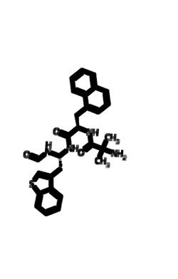 CC(C)(N)C(=O)N[C@H](Cc1cccc2ccccc12)C(=O)N[C@H](Cc1csc2ccccc12)NC=O